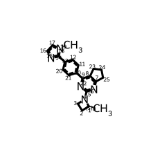 C[C@H]1CCN1c1nc2c(c(-c3ccc(-c4nccn4C)cc3)n1)CCC2